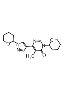 Cc1c(-c2cnn(C3CCCCO3)c2)ncn(C2CCCCO2)c1=O